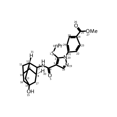 CCCSc1c(C(=O)NC2[C@@H]3CC4C[C@H]2CC(O)(C4)C3)cnn1-c1ccc(C(=O)OC)cc1